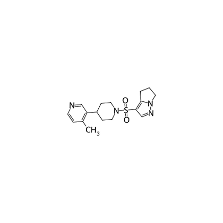 Cc1ccncc1C1CCN(S(=O)(=O)c2cnn3c2CCC3)CC1